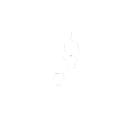 CN1CCC2(CC1)N=CC(c1ccc(Br)cc1)=N2